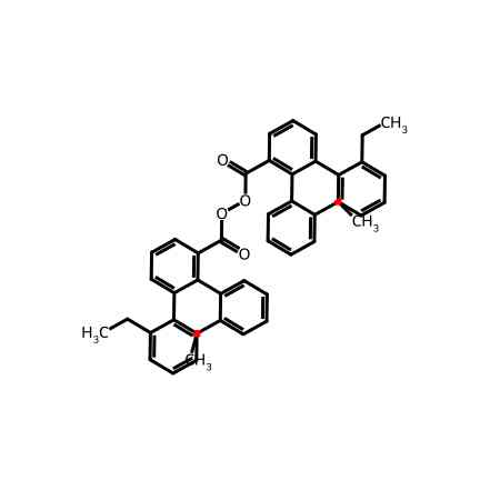 CCc1ccccc1-c1cccc(C(=O)OOC(=O)c2cccc(-c3ccccc3CC)c2-c2ccccc2CC)c1-c1ccccc1CC